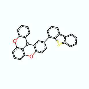 c1ccc2c(c1)Oc1cccc3c1B2c1cc(-c2cccc4c2sc2ccccc24)ccc1O3